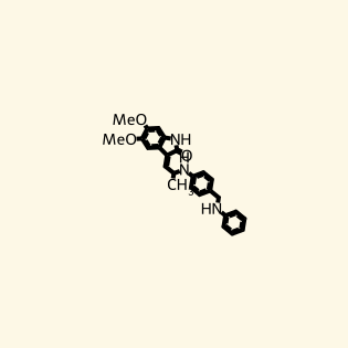 COc1cc2c(cc1OC)C(=CC(C)Nc1ccc(CNc3ccccc3)cc1)C(=O)N2